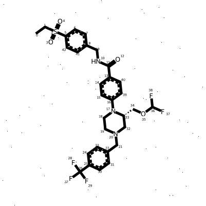 CCS(=O)(=O)c1ccc(CNC(=O)c2ccc(N3CCN(Cc4ccc(C(F)(F)F)cc4)C[C@H]3COC(F)F)cc2)cc1